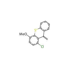 C=C1c2ccccc2Sc2c(OC)ccc(Cl)c21